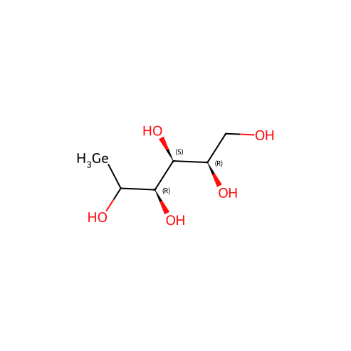 OC[C@@H](O)[C@H](O)[C@@H](O)[CH](O)[GeH3]